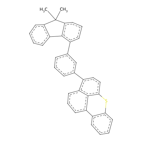 CC1(C)c2ccccc2-c2c(-c3cccc(-c4ccc5c6c(cccc46)-c4ccccc4S5)c3)cccc21